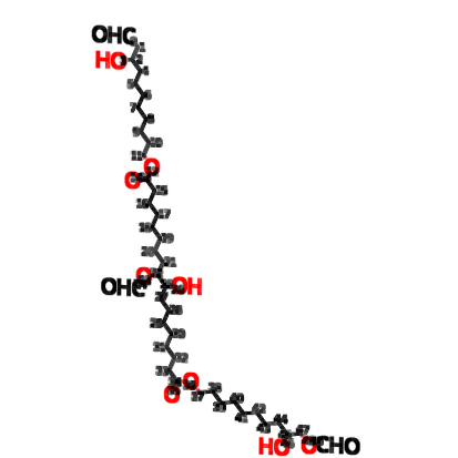 O=CCC(O)CCCCCCCCOC(=O)CCCCCCCC(OC=O)C(O)CCCCCCCC(=O)OCCCCCCCCC(O)COC=O